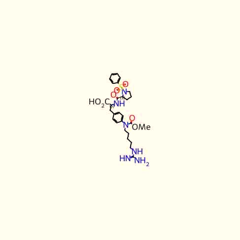 COC(=O)N(CCCCCNC(=N)N)c1ccc(C[C@H](NC(=O)[C@@H]2CCCN2S(=O)(=O)c2ccccc2)C(=O)O)cc1